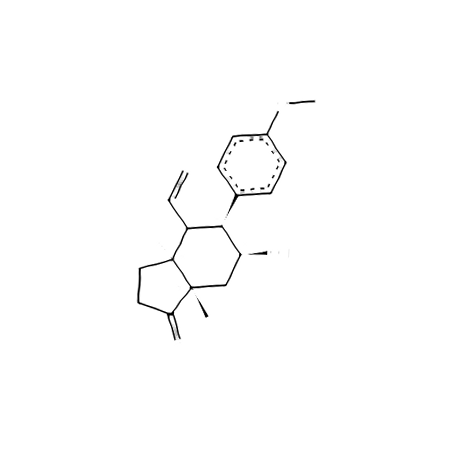 C=CC1[C@@H](c2ccc(OC)cc2)[C@@H](O)C[C@]2(C)C(=O)CC[C@@H]12